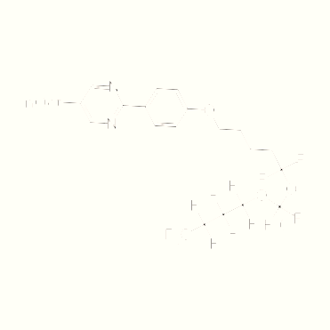 CCCCCCCCc1cnc(-c2ccc(OCCCCC(F)(F)OC(F)(OC(F)(F)C(F)(F)C(F)(F)C(F)(F)F)C(F)(F)F)cc2)nc1